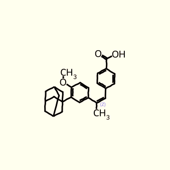 COc1ccc(/C(C)=C\c2ccc(C(=O)O)cc2)cc1C12CC3CC(CC(C3)C1)C2